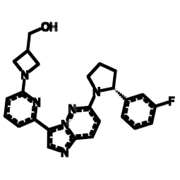 OCC1CN(c2cccc(-c3cnc4ccc(N5CCC[C@@H]5c5cccc(F)c5)nn34)n2)C1